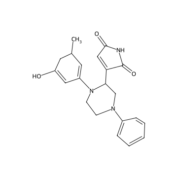 CC1C=C(N2CCN(c3ccccc3)CC2C2=CC(=O)NC2=O)C=C(O)C1